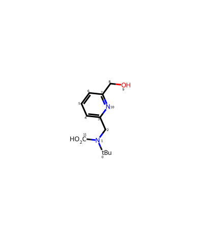 CC(C)(C)N(Cc1cccc(CO)n1)C(=O)O